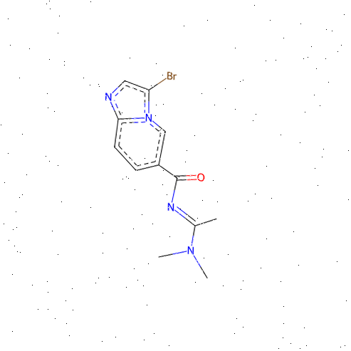 C/C(=N\C(=O)c1ccc2ncc(Br)n2c1)N(C)C